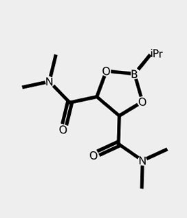 CC(C)B1OC(C(=O)N(C)C)C(C(=O)N(C)C)O1